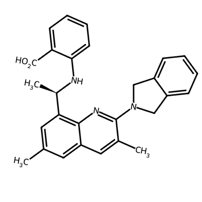 Cc1cc([C@@H](C)Nc2ccccc2C(=O)O)c2nc(N3Cc4ccccc4C3)c(C)cc2c1